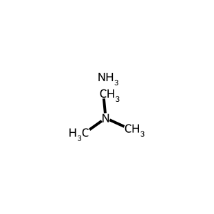 CN(C)C.N